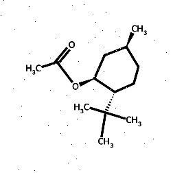 CC(=O)O[C@H]1C[C@@H](C)CC[C@@H]1C(C)(C)C